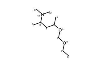 CCOCOC(C)CC(C)N(C)C